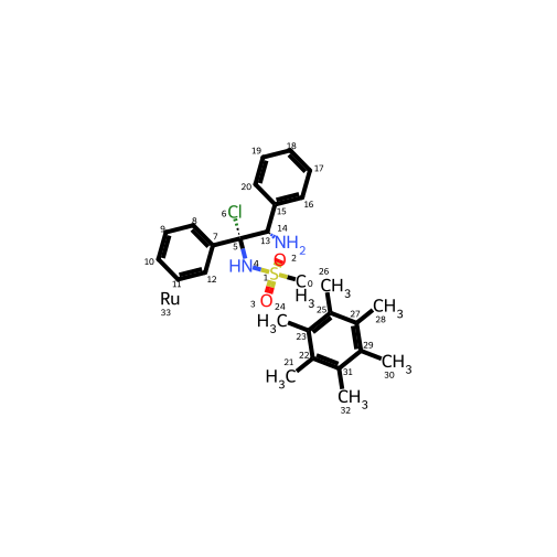 CS(=O)(=O)N[C@@](Cl)(c1ccccc1)[C@@H](N)c1ccccc1.Cc1c(C)c(C)c(C)c(C)c1C.[Ru]